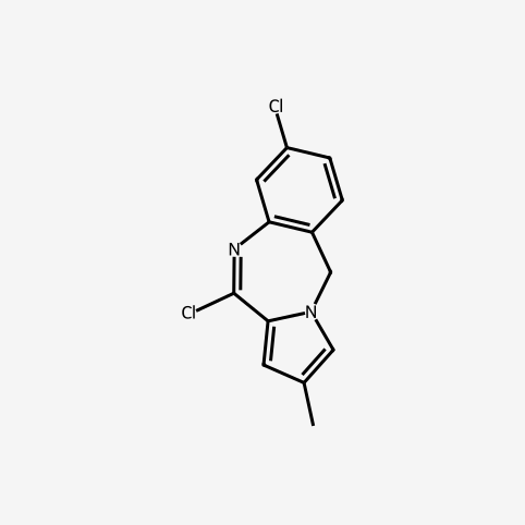 Cc1cc2n(c1)Cc1ccc(Cl)cc1N=C2Cl